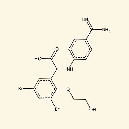 N=C(N)c1ccc(NC(C(=O)O)c2cc(Br)cc(Br)c2OCCO)cc1